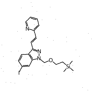 C[Si](C)(C)CCOCn1nc(C=Cc2ccccn2)c2ccc(I)cc21